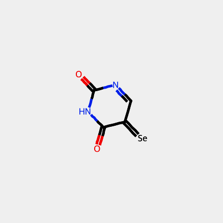 O=C1N=CC(=[Se])C(=O)N1